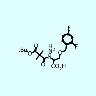 CC(C)(C)OC(=O)C(C)(C)C(=O)N(N)C(COCc1ccc(F)cc1F)C(=O)O